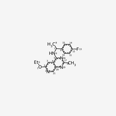 CCOc1cc2c(NC(C)c3ccc(F)cc3)nc(C)nc2cn1